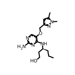 CCC[C@@H](CCO)Nc1nc(N)ncc1OCc1cc(C)n(C)n1